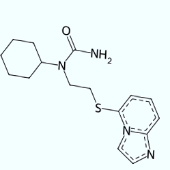 NC(=O)N(CCSc1cccc2nccn12)C1CCCCC1